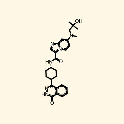 CN(CC(C)(C)O)c1ccn2c(C(=O)N[C@H]3CC[C@H](c4n[nH]c(=O)c5ccccc54)CC3)cnc2c1